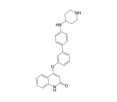 O=c1cc(Oc2cccc(-c3ccc(NC4CCNCC4)cc3)c2)c2ccccc2[nH]1